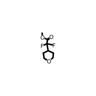 COC(=O)C(F)(F)C1CCOCC1